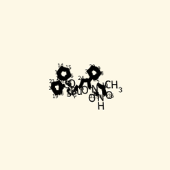 Cc1cn([C@@H]2O[C@H](C([Se])O[Si](c3ccccc3)(c3ccccc3)C(C)(C)C)CC2c2ccccc2)c(=O)[nH]c1=O